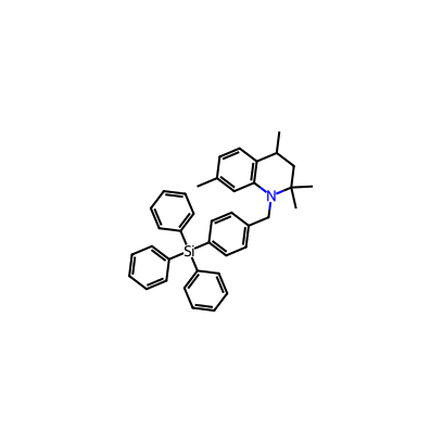 Cc1ccc2c(c1)N(Cc1ccc([Si](c3ccccc3)(c3ccccc3)c3ccccc3)cc1)C(C)(C)CC2C